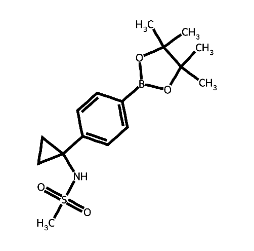 CC1(C)OB(c2ccc(C3(NS(C)(=O)=O)CC3)cc2)OC1(C)C